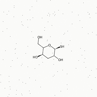 OCC1O[C@@H](S)C(O)C[C@H]1O